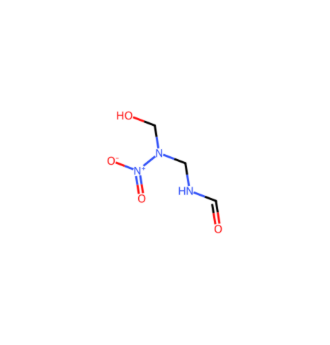 O=CNCN(CO)[N+](=O)[O-]